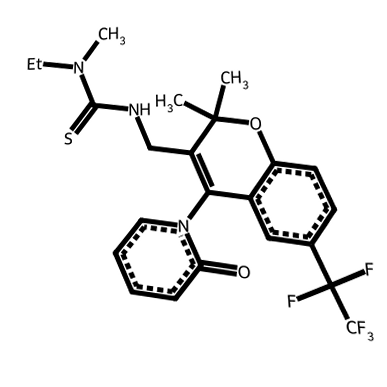 CCN(C)C(=S)NCC1=C(n2ccccc2=O)c2cc(C(F)(F)C(F)(F)F)ccc2OC1(C)C